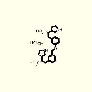 Cl.Cl.O=C(O)[C@@H](Cc1cccc(COc2cccc(C[C@H](C(=O)O)[C@H]3CCNC3)c2)c1)[C@H]1CCNC1